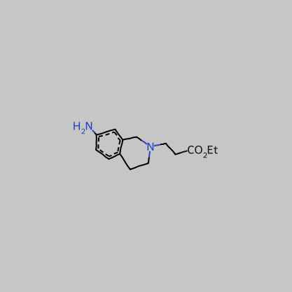 CCOC(=O)CCN1CCc2ccc(N)cc2C1